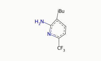 CCC(C)c1ccc(C(F)(F)F)nc1N